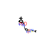 COc1ccc(C(C)(C)C)cc1C(=O)NCCc1ccc(S(=O)(=O)Nc2nnc(C(C)C)s2)cc1